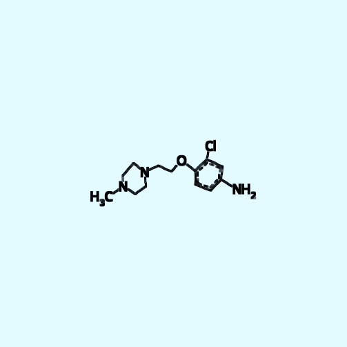 CN1CCN(CCOc2ccc(N)cc2Cl)CC1